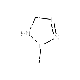 CN1N=N[C]N1